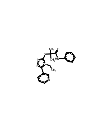 CCn1c(SC(C)(C)C(=O)Nc2ccccc2)nnc1-c1cccnc1